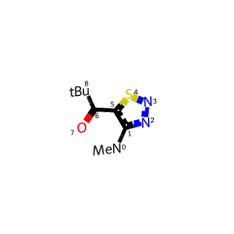 CNc1nnsc1C(=O)C(C)(C)C